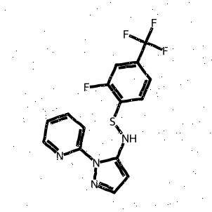 Fc1cc(C(F)(F)F)ccc1SNc1ccnn1-c1ccccn1